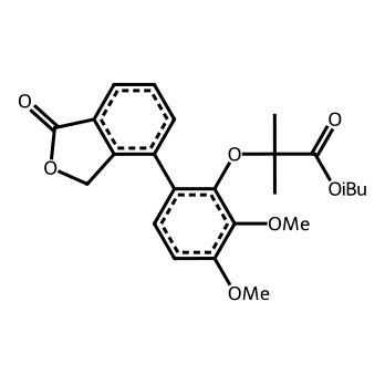 COc1ccc(-c2cccc3c2COC3=O)c(OC(C)(C)C(=O)OCC(C)C)c1OC